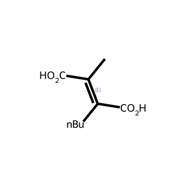 CCCC/C(C(=O)O)=C(/C)C(=O)O